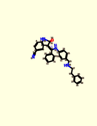 N#Cc1ccc2c(c1)/C(=C(/Nc1ccc(CNCCc3ccccc3)cc1)c1ccccc1)C(=O)N2